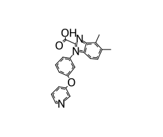 Cc1ccc2c(nc(C(=O)O)n2-c2cccc(Oc3cccnc3)c2)c1C